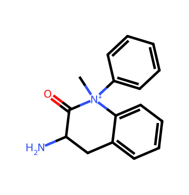 C[N+]1(c2ccccc2)C(=O)C(N)Cc2ccccc21